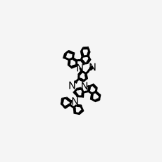 N#Cc1cc(-n2c3ccc4ccccc4c3c3c4ccccc4ccc32)c(C#N)cc1-n1c2ccc(-n3c4ccccc4c4ccccc43)cc2c2c3ccccc3ccc21